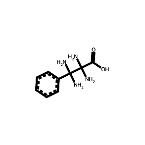 NC(N)(C(=O)O)C(N)(N)c1ccccc1